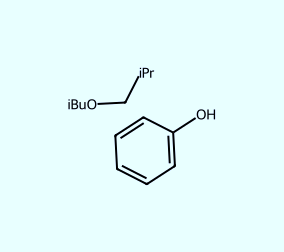 CC(C)COCC(C)C.Oc1ccccc1